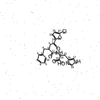 O=C(CC(Cc1ccccc1)C(=O)N[C@@H](Cc1c[nH]cn1)C(=O)O)c1ccc(Cl)o1